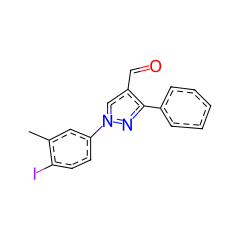 Cc1cc(-n2cc(C=O)c(-c3ccccc3)n2)ccc1I